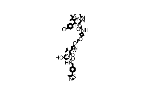 Cc1ncsc1-c1ccc(CNC(=O)[C@@H]2C[C@@H](O)CN2C(=O)[C@@H](c2cc(OCCO[C@H]3C[C@@H](NC(=O)C[C@@H]4N=C(c5ccc(Cl)cc5)c5c(sc(C)c5C)-n5c(C)nnc54)C3)no2)C(C)C)cc1